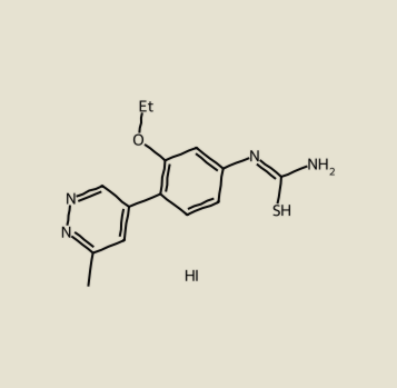 CCOc1cc(N=C(N)S)ccc1-c1cnnc(C)c1.I